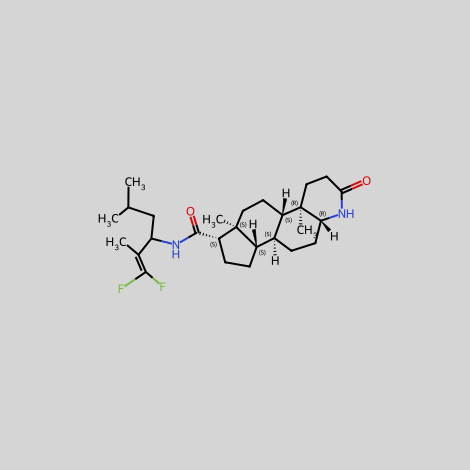 CC(=C(F)F)C(CC(C)C)NC(=O)[C@H]1CC[C@H]2[C@@H]3CC[C@H]4NC(=O)CC[C@]4(C)[C@H]3CC[C@]12C